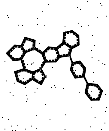 c1ccc(-c2ccc(-n3c4ccccc4c4cc5c(cc43)n3ncc4cccc(c6cccc7ccn5c76)c43)cc2)cc1